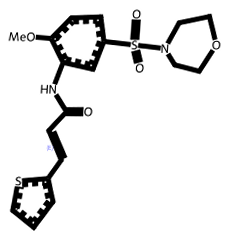 COc1ccc(S(=O)(=O)N2CCOCC2)cc1NC(=O)/C=C/c1cccs1